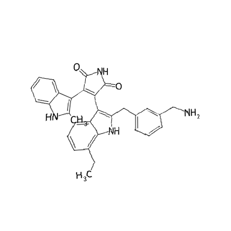 CCc1cccc2c(C3=C(c4c(C)[nH]c5ccccc45)C(=O)NC3=O)c(Cc3cccc(CN)c3)[nH]c12